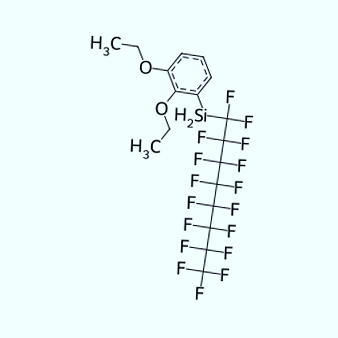 CCOc1cccc([SiH2]C(F)(F)C(F)(F)C(F)(F)C(F)(F)C(F)(F)C(F)(F)C(F)(F)C(F)(F)F)c1OCC